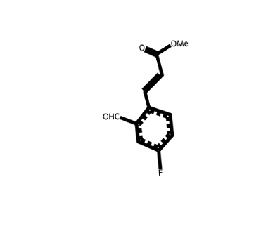 COC(=O)/C=C/c1ccc(F)cc1C=O